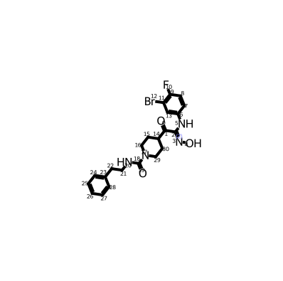 O=C(/C(=N/O)Nc1ccc(F)c(Br)c1)C1CCN(C(=O)NCCc2ccccc2)CC1